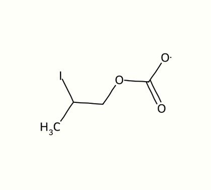 CC(I)COC([O])=O